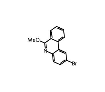 COc1nc2ccc(Br)cc2c2ccccc12